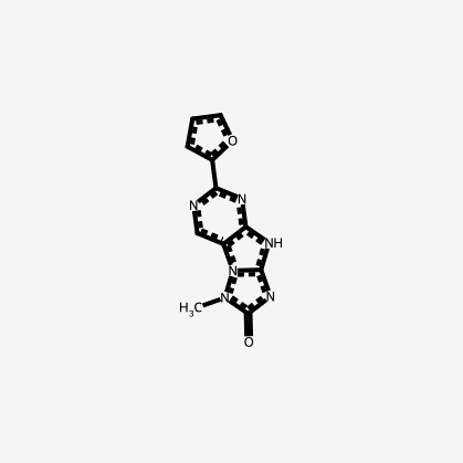 Cn1c(=O)nc2[nH]c3nc(-c4ccco4)ncc3n21